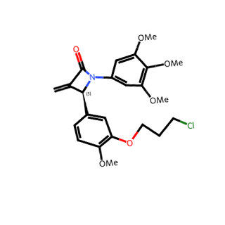 C=C1C(=O)N(c2cc(OC)c(OC)c(OC)c2)[C@H]1c1ccc(OC)c(OCCCCl)c1